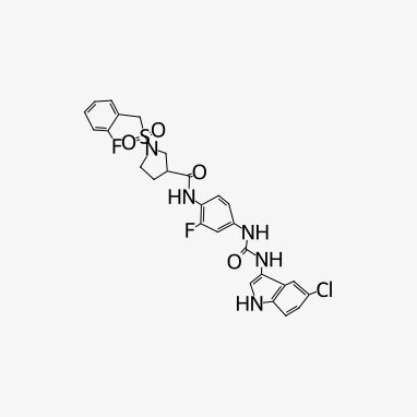 O=C(Nc1ccc(NC(=O)C2CCN(S(=O)(=O)Cc3ccccc3F)C2)c(F)c1)Nc1c[nH]c2ccc(Cl)cc12